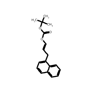 CC(C)(C)OC(=O)OC=CCc1cccc2ccccc12